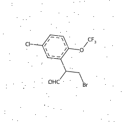 O=CC(CBr)c1cc(Cl)ccc1OC(F)(F)F